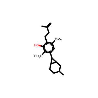 C=C(C)CCc1c(OC)cc(C2C3CCC(C)CC32)c(C(=O)O)c1O